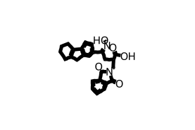 O=C(O)C(CC(=NO)c1ccc2c(c1)CC1=C2CCCC1)CN1C(=O)c2ccccc2C1=O